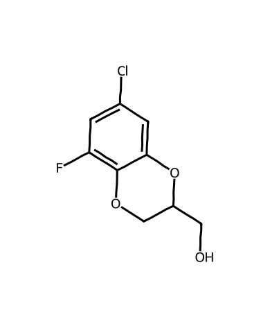 OCC1COc2c(F)cc(Cl)cc2O1